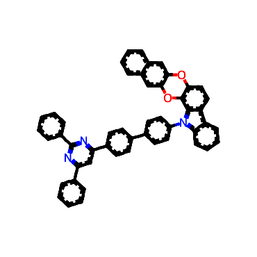 c1ccc(-c2cc(-c3ccc(-c4ccc(-n5c6ccccc6c6ccc7c(c65)Oc5cc6ccccc6cc5O7)cc4)cc3)nc(-c3ccccc3)n2)cc1